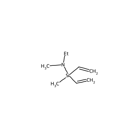 C=C[Si](C)(C=C)N(C)CC